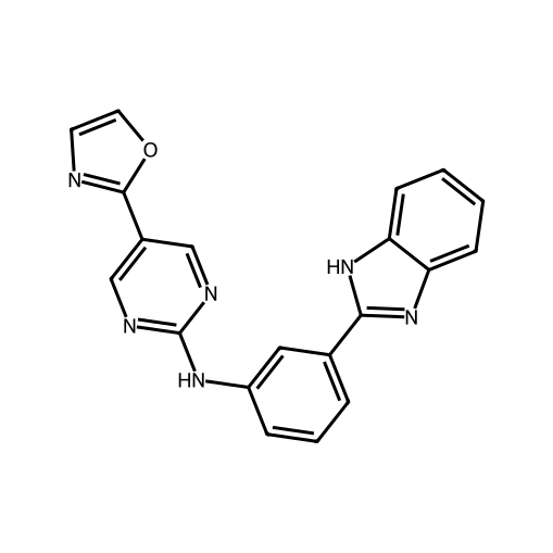 c1cc(Nc2ncc(-c3ncco3)cn2)cc(-c2nc3ccccc3[nH]2)c1